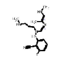 CN/C=C(C)/N=C\N(CCCNC)Nc1cccc(F)c1C#N